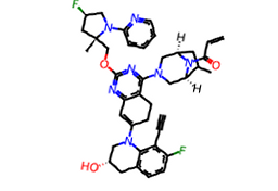 C#Cc1c(F)ccc2c1N(C1=Cc3nc(OC[C@]4(C)C[C@@H](F)CN4c4ccccn4)nc(N4C[C@H]5CC(C)[C@@H](C4)N5C(=O)C=C)c3CC1)C[C@@H](O)C2